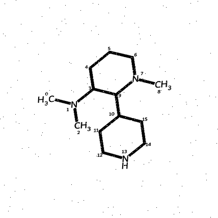 CN(C)C1CCCN(C)C1C1CCNCC1